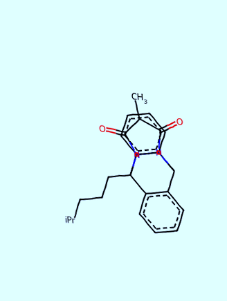 CC(C)CCCC12c3ccccc3C(c3ccccc31)N1C(=O)C(C)C(=O)N12